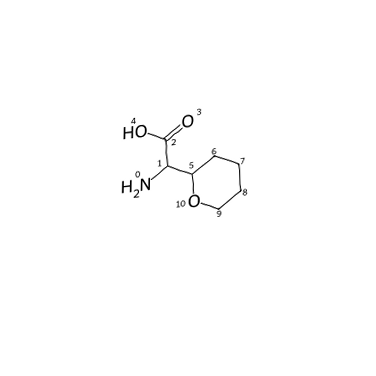 NC(C(=O)O)C1CCCCO1